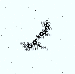 CCCCc1c2c(nc3ccc(NC(=O)OCc4ccc(OC5OC(C(=O)O)[C@@H](O)C(O)[C@H]5O)c(NC(=O)CCN)c4)cc13)-c1cc3c(c(=O)n1C2)COC(=O)[C@]3(O)CC